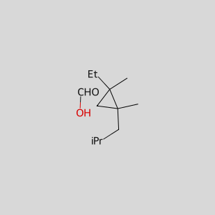 CCC1(C)CC1(C)CC(C)C.O=CO